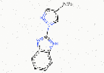 CNc1cnn(-c2nc3ccccc3[nH]2)c1